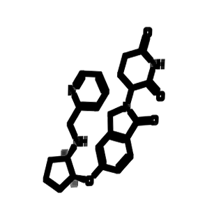 O=C1CCC(N2Cc3cc(O[C@H]4CCC[C@H]4NCc4ccccn4)ccc3C2=O)C(=O)N1